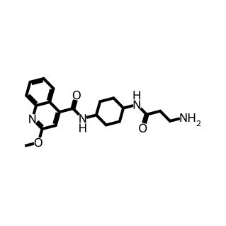 COc1cc(C(=O)NC2CCC(NC(=O)CCN)CC2)c2ccccc2n1